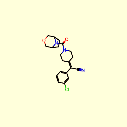 N#CC(=C1CCN(C(=O)N2C3CCC2COC3)CC1)c1cccc(Cl)c1